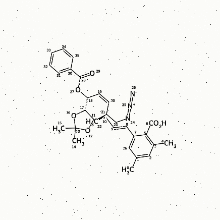 Cc1cc(C)c(C(=O)O)c(/C=C/C[C@@H]2OC(C)(C)O[C@@H]2C(/C=C\[C@H](C)CN=[N+]=[N-])OC(=O)c2ccccc2)c1